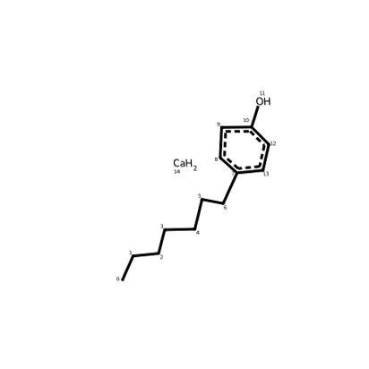 CCCCCCCc1ccc(O)cc1.[CaH2]